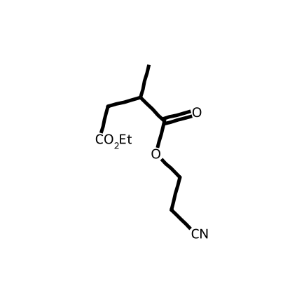 CCOC(=O)CC(C)C(=O)OCCC#N